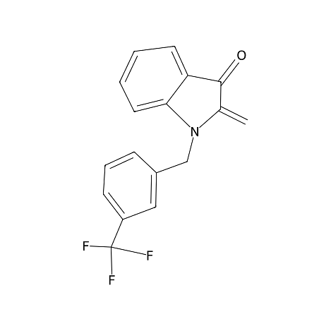 C=C1C(=O)c2ccccc2N1Cc1cccc(C(F)(F)F)c1